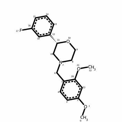 COc1ccc(CN2CCO[C@@H](c3cccc(F)c3)C2)c(OC)c1